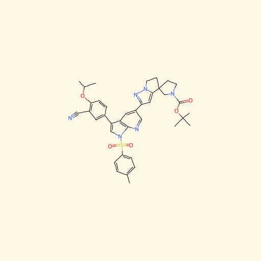 Cc1ccc(S(=O)(=O)n2cc(-c3ccc(OC(C)C)c(C#N)c3)c3cc(-c4cc5n(n4)CCC54CCN(C(=O)OC(C)(C)C)C4)cnc32)cc1